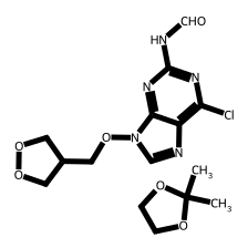 CC1(C)OCCO1.O=CNc1nc(Cl)c2ncn(OCC3COOC3)c2n1